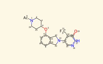 CC(=O)N1CCC(Oc2cccc3c2CN(c2cn[nH]c(=O)c2C(F)(F)F)C3)CC1